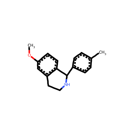 COc1ccc2c(c1)CCNC2c1ccc(C)cc1